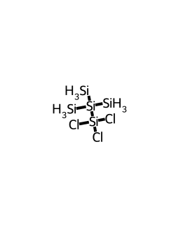 [SiH3][Si]([SiH3])([SiH3])[Si](Cl)(Cl)Cl